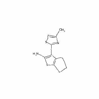 Cc1csc(-c2c(N)sc3c2CCC3)n1